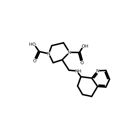 O=C(O)N1CCN(C(=O)O)C(CNC2CCCc3cccnc32)C1